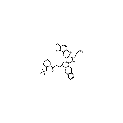 CC(C)(C)CC1CCCCN1C(=O)CCC(=O)N1Cc2ccccc2C[C@H]1C(=O)N[C@@H](CCN)C(=O)Nc1ccc(Cl)c(Cl)c1F